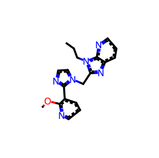 CCCn1c(Cn2ccnc2-c2cccnc2OC)nc2cccnc21